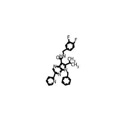 CC(C)c1c(C(=O)NCc2ccc(F)c(F)c2)c2ncc(-c3ccccn3)nc2n1Cc1ccccc1